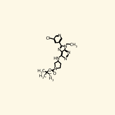 CCn1c(-c2cncc(Cl)c2)nc2c(NC3CCN(C(=O)OC(C)(C)C)C3)ncnc21